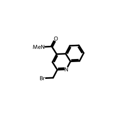 CNC(=O)c1cc(CBr)nc2ccccc12